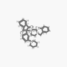 CCc1ccccc1CN1CCN(C2(c3cccc(N4CCCCC4)c3)C(=O)c3ccccc3C2=O)CC1